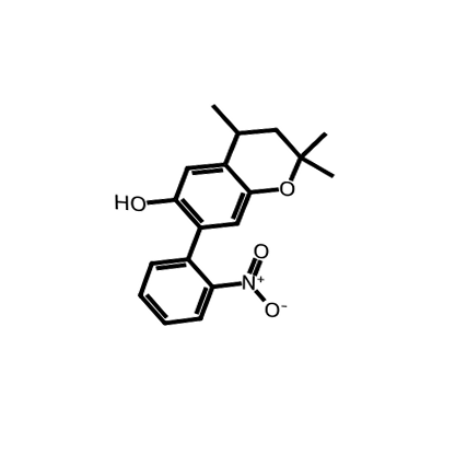 CC1CC(C)(C)Oc2cc(-c3ccccc3[N+](=O)[O-])c(O)cc21